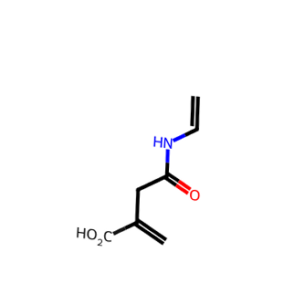 C=CNC(=O)CC(=C)C(=O)O